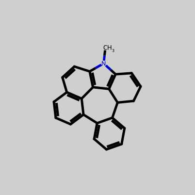 Cn1c2c3c4c5c(cccc5ccc41)-c1ccccc1C3CC=C2